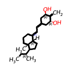 C=C1[C@H](O)CC(=C/C=C2\CCC[C@]3(C)C([C@H](C)CC)CC[C@@H]23)C[C@H]1O